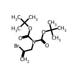 C=C(Br)CN(C(=O)OC(C)(C)C)C(=O)OC(C)(C)C